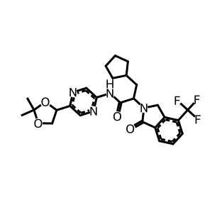 CC1(C)OCC(c2cnc(NC(=O)C(CC3CCCC3)N3Cc4c(cccc4C(F)(F)F)C3=O)cn2)O1